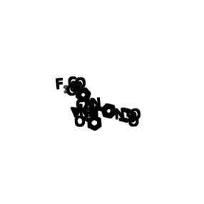 N#CC1(NC(=O)C2CCCCC2c2oc(-c3ccc(S(=O)(=O)C(F)(F)F)cc3)nc2-c2ccc(N3CCS(=O)(=O)CC3)cc2)CC1